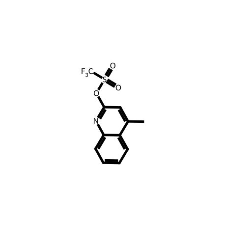 Cc1cc(OS(=O)(=O)C(F)(F)F)nc2ccccc12